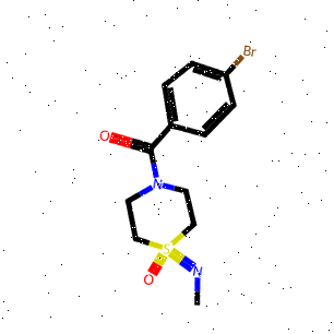 CN=S1(=O)CCN(C(=O)c2ccc(Br)cc2)CC1